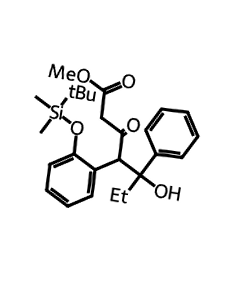 CCC(O)(c1ccccc1)C(C(=O)CC(=O)OC)c1ccccc1O[Si](C)(C)C(C)(C)C